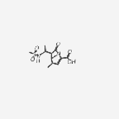 CC1C=C(C(=O)O)N2C(=O)C(C(C)NS(C)(=O)=O)C12